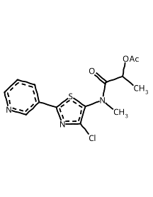 CC(=O)OC(C)C(=O)N(C)c1sc(-c2cccnc2)nc1Cl